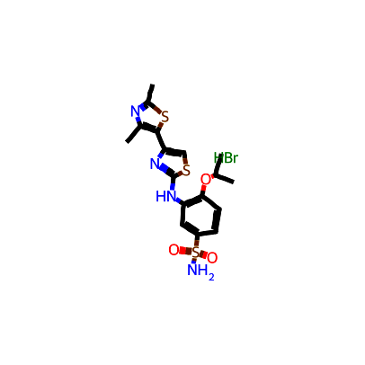 Br.Cc1nc(C)c(-c2csc(Nc3cc(S(N)(=O)=O)ccc3OC(C)C)n2)s1